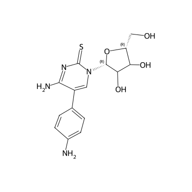 Nc1ccc(-c2cn([C@@H]3O[C@H](CO)C(O)C3O)c(=S)nc2N)cc1